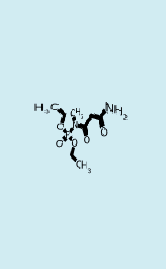 CCOP(=O)(OCC)N(C)C(=O)CC(N)=O